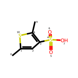 Cc1cc(S(=O)(=O)O)c(C)s1